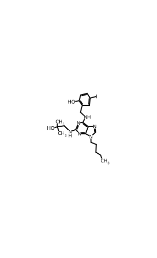 CCCCCn1cnc2c(NCc3cc(I)ccc3O)nc(NCC(C)(C)O)nc21